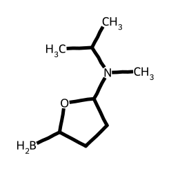 BC1CCC(N(C)C(C)C)O1